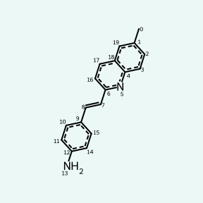 Cc1ccc2nc(C=Cc3ccc(N)cc3)ccc2c1